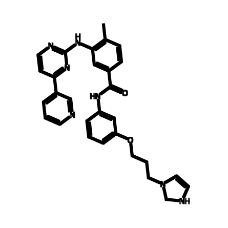 Cc1ccc(C(=O)Nc2cccc(OCCCN3C=CNC3)c2)cc1Nc1nccc(-c2cccnc2)n1